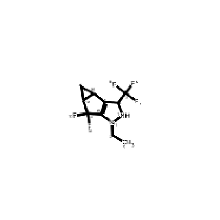 CCN1NC(C(F)(F)F)C2=C1C(F)(F)C1CC21